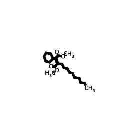 CCCCCCCCCCC(C(=O)OC)=C(C(=O)OC)C1CCCCC1